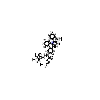 CCCC(=O)N(CCN(C)C)c1ccc(N/C(=C2\C(=O)Nc3ccccc32)c2ccccc2)cc1